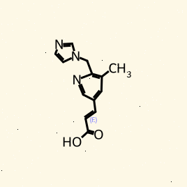 Cc1cc(/C=C/C(=O)O)cnc1Cn1ccnc1